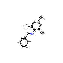 Cc1cc(C)c(/N=C/c2ccccc2)c(C)c1